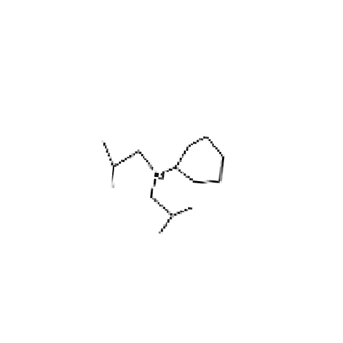 CC(C)C[As](CC(C)C)C1CCCCC1